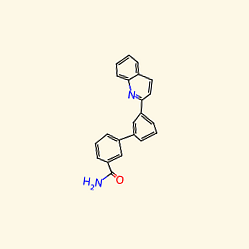 NC(=O)c1cccc(-c2cccc(-c3ccc4ccccc4n3)c2)c1